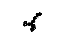 c1ccc2c(-c3ccc(N(c4ccc(-c5ccc6c(c5)sc5c7ccccc7ccc65)cc4)c4ccc5oc6ccccc6c5c4)cc3)cccc2c1